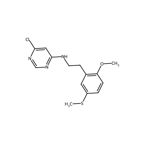 COc1ccc(SC)cc1CCNc1cc(Cl)ncn1